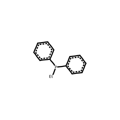 [CH2]CP(c1ccccc1)c1ccccc1